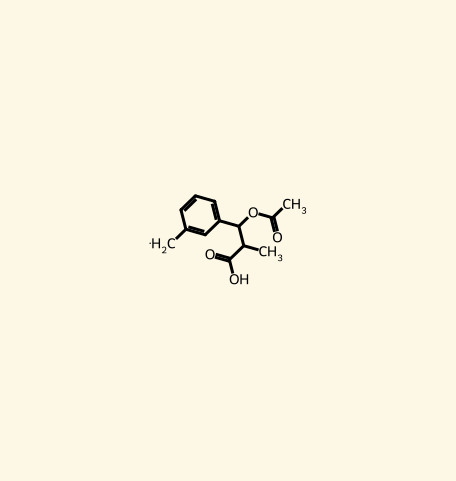 [CH2]c1cccc(C(OC(C)=O)C(C)C(=O)O)c1